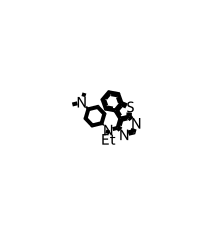 CCN(c1ncnc2sc3ccccc3c12)[C@H]1CC[C@H](N(C)C)CC1